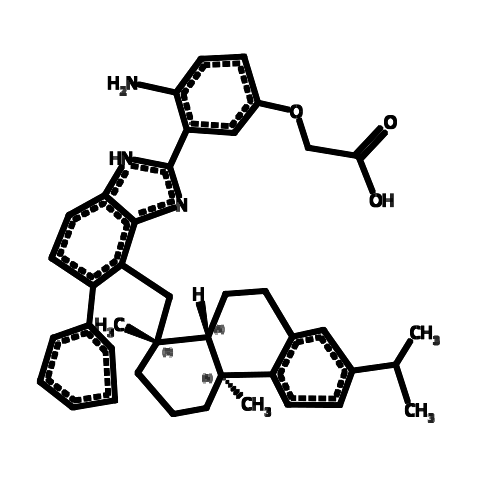 CC(C)c1ccc2c(c1)CC[C@H]1[C@@](C)(Cc3c(-c4ccccc4)ccc4[nH]c(-c5cc(OCC(=O)O)ccc5N)nc34)CCC[C@]21C